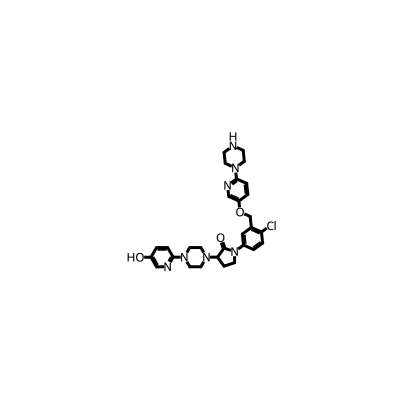 O=C1C(N2CCN(c3ccc(O)cn3)CC2)CCN1c1ccc(Cl)c(COc2ccc(N3CCNCC3)nc2)c1